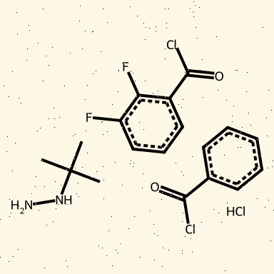 CC(C)(C)NN.Cl.O=C(Cl)c1cccc(F)c1F.O=C(Cl)c1ccccc1